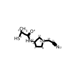 CC(S)C(=O)N[C@@H]1CCN(CC#N)C1